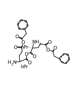 CCC[C@](N)(CCC(=O)OC(=O)Cc1ccccc1)C(=O)OC(=O)[C@](N)(CCC)CCC(=O)OC(=O)Cc1ccccc1